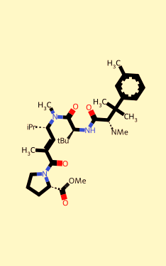 CN[C@H](C(=O)N[C@H](C(=O)N(C)[C@H](/C=C(\C)C(=O)N1CCC[C@H]1C(=O)OC)C(C)C)C(C)(C)C)C(C)(C)c1cccc(C)c1